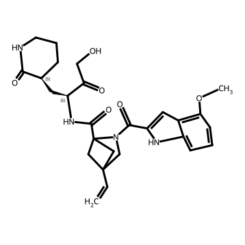 C=CC12CN(C(=O)c3cc4c(OC)cccc4[nH]3)C(C(=O)N[C@@H](C[C@@H]3CCCNC3=O)C(=O)CO)(C1)C2